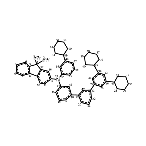 CCCC1(CCC)c2ccccc2-c2ccc(N(c3cccc(-c4cccc(-c5cc(C6CCCCC6)cc(C6CCCCC6)c5)c4)c3)c3cccc(C4CCCCC4)c3)cc21